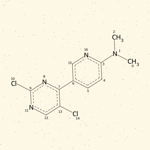 CN(C)c1ccc(-c2nc(Cl)ncc2Cl)cn1